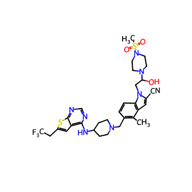 Cc1c(CN2CCC(Nc3ncnc4sc(CC(F)(F)F)cc34)CC2)ccc2c1cc(C#N)n2CC(O)N1CCN(S(C)(=O)=O)CC1